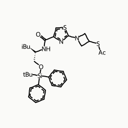 CC[C@H](C)[C@@H](CO[Si](c1ccccc1)(c1ccccc1)C(C)(C)C)NC(=O)c1csc(N2CC(SC(C)=O)C2)n1